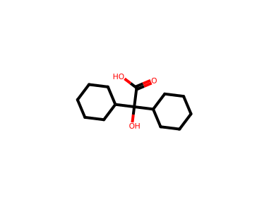 O=C(O)C(O)(C1CCCCC1)C1CCCCC1